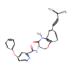 C=C(C)C#Cc1ccc2c(c1)N(C)C(=O)[C@@H](NC(=O)c1cc(Oc3ccccc3)ccn1)CO2